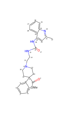 COC(=O)C1(c2ccccc2)CCN(CCNC(=O)Nc2cc(C)nc3ccccc23)CC1